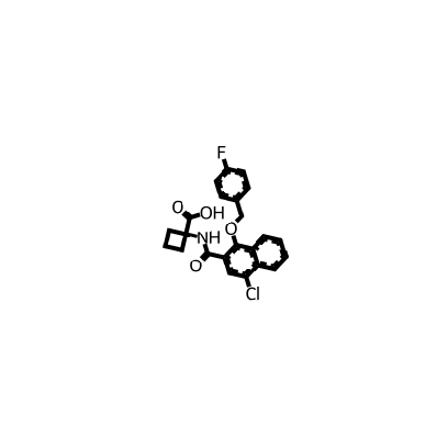 O=C(NC1(C(=O)O)CCC1)c1cc(Cl)c2ccccc2c1OCc1ccc(F)cc1